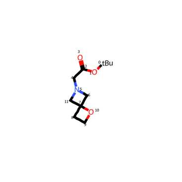 CC(C)(C)OC(=O)CN1CC2(CCO2)C1